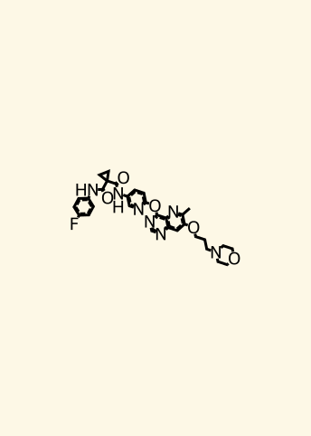 Cc1nc2c(Oc3ccc(NC(=O)C4(C(=O)Nc5ccc(F)cc5)CC4)cn3)ncnc2cc1OCCCN1CCOCC1